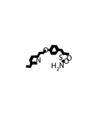 CCc1ccc(CCOc2ccc(CC(C=O)SC(N)=O)cc2)nc1